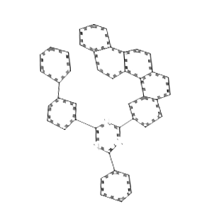 c1ccc(-c2cccc(-c3nc(-c4ccccc4)nc(-c4ccc5ccc6ccc7c8ccccc8ccc7c6c5c4)n3)c2)cc1